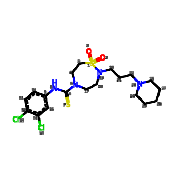 O=S1(=O)CCN(C(=S)Nc2ccc(Cl)c(Cl)c2)CCN1CCCN1CCCCC1